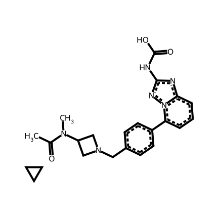 C1CC1.CC(=O)N(C)C1CN(Cc2ccc(-c3cccc4nc(NC(=O)O)nn34)cc2)C1